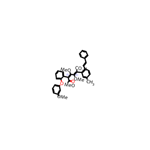 COC(=O)/C(=C(OC)\C(OC)=C(/C(=O)O)c1cc(C)ccc1C=Cc1ccccc1)c1ccccc1Oc1cccc(OC)c1